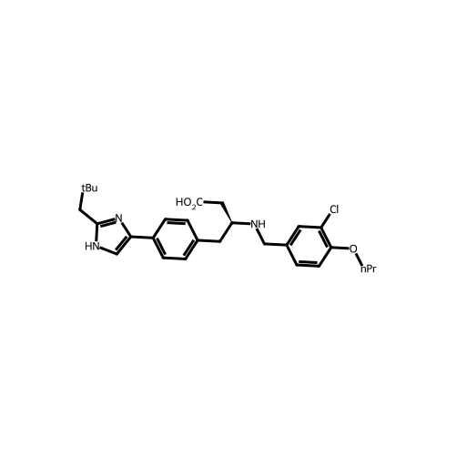 CCCOc1ccc(CN[C@H](CC(=O)O)Cc2ccc(-c3c[nH]c(CC(C)(C)C)n3)cc2)cc1Cl